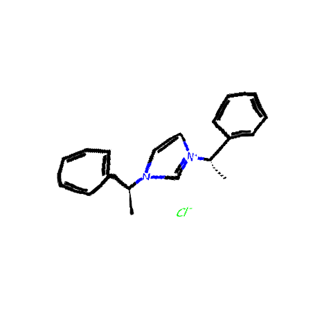 C[C@@H](c1ccccc1)n1cc[n+]([C@@H](C)c2ccccc2)c1.[Cl-]